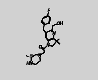 C[C@@H]1CN(CC(=O)N2CC(C)(C)c3nc(CO)c(Cc4ccc(F)cc4)cc32)CCN1